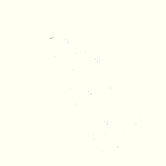 CCOC[C@@H](CC(C)C)NC(=O)[C@@H]1CNC[C@H](C(=O)N(c2ccc3c(c2)N(CCO)C(=O)C(C)(C)O3)C2CC2)C1